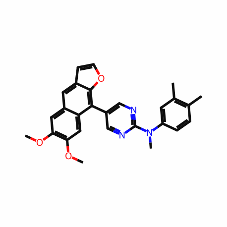 COc1cc2cc3ccoc3c(-c3cnc(N(C)c4ccc(C)c(C)c4)nc3)c2cc1OC